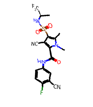 Cc1c(S(=O)(=O)N[C@H](C)C(F)(F)F)c(C#N)c(C(=O)Nc2ccc(F)c(C#N)c2)n1C